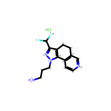 Cl.NCCCn1nc(C(F)F)c2c1-c1ccncc1CC2